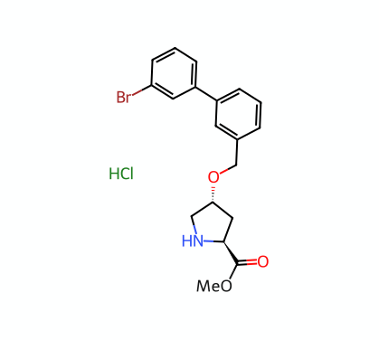 COC(=O)[C@@H]1C[C@@H](OCc2cccc(-c3cccc(Br)c3)c2)CN1.Cl